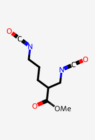 COC(=O)C(CCCN=C=O)CN=C=O